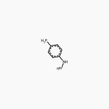 CCCNc1ccc(P)cc1